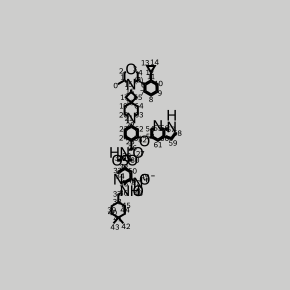 CC1COC[C@@H](c2ccccc2C2CC2)N1C1CC2(CCN(c3ccc(C(=O)NS(=O)(=O)c4cnc(NCC5CCC(C)(C)CC5)c([N+](=O)[O-])c4)c(Oc4cnc5[nH]ccc5c4)c3)CC2)C1